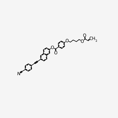 C=CC(=O)OCCCCOc1ccc(C(=O)Oc2ccc3cc(C#Cc4ccc(C#N)cc4)ccc3c2)cc1